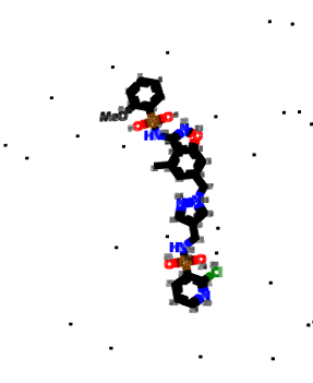 COc1ccccc1S(=O)(=O)Nc1noc2cc(Cn3cc(CNS(=O)(=O)c4cccnc4Cl)cn3)cc(C)c12